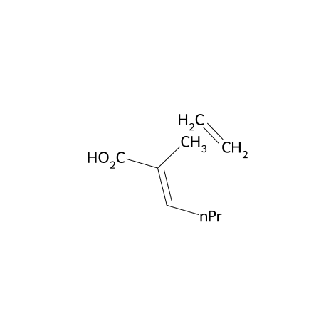 C=C.CCCC=C(C)C(=O)O